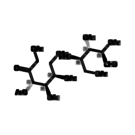 CC(=O)OCC(=O)[C@@H](OC(C)=O)[C@H](OC(C)=O)[C@@H](COC(C)=O)OC(C)=O.CC(=O)OC[C@@H](OC(C)=O)[C@H](OC(C)=O)[C@H](C=O)OC(C)=O